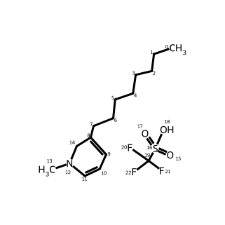 CCCCCCCCC1=CC=CN(C)C1.O=S(=O)(O)C(F)(F)F